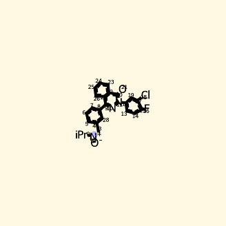 CC(C)/[N+]([O-])=C\c1cccc(-c2nn(-c3ccc(F)c(Cl)c3)c(=O)c3ccccc23)c1